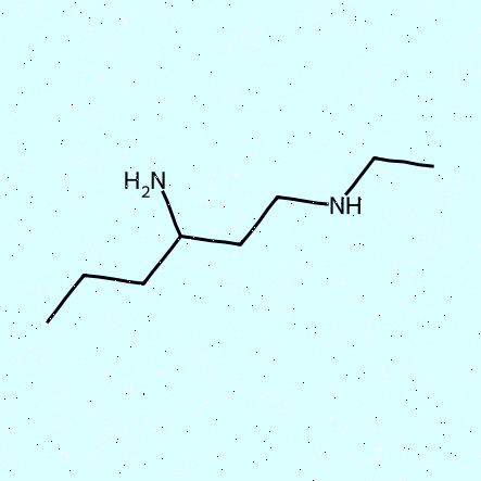 CCCC(N)CCNCC